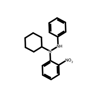 O=[N+]([O-])c1ccccc1N(Nc1ccccc1)C1CCCCC1